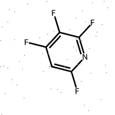 Fc1[c]c(F)c(F)c(F)n1